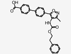 Cc1noc(-c2ccc(-c3ccc(C(=O)O)cc3)cc2)c1NC(=O)OCCc1ccccc1